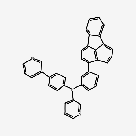 c1cncc(-c2ccc(N(c3cccnc3)c3cccc(-c4ccc5c6c(cccc46)-c4ccccc4-5)c3)cc2)c1